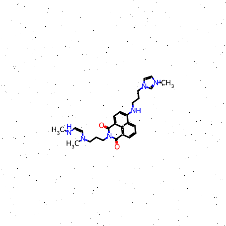 CN/C=C\N(C)CCCN1C(=O)c2cccc3c(NCCCn4cc[n+](C)c4)ccc(c23)C1=O